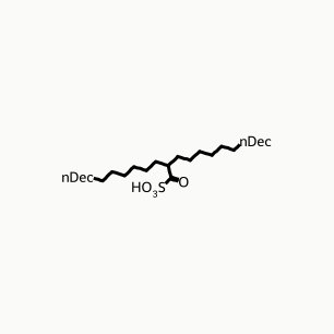 CCCCCCCCCCCCCCCCC(CCCCCCCCCCCCCCCC)C(=O)S(=O)(=O)O